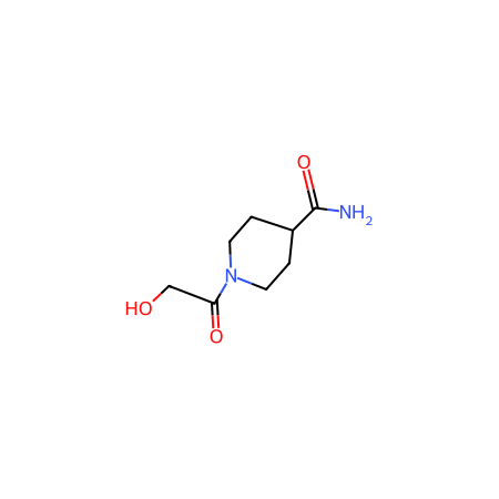 NC(=O)C1CCN(C(=O)CO)CC1